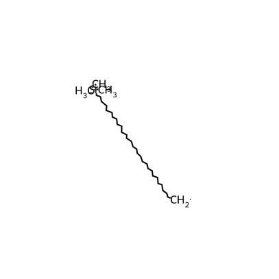 [CH2]CCCCCCCCCCCCCCCCCCCCCCCCCCCCC[Si](C)(C)C